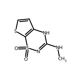 CNC1=NS(=O)(=O)c2sccc2N1